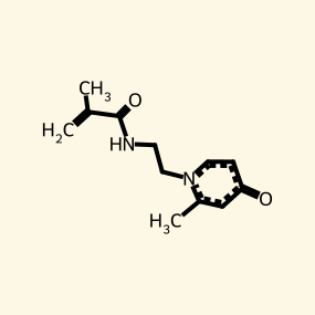 C=C(C)C(=O)NCCn1ccc(=O)cc1C